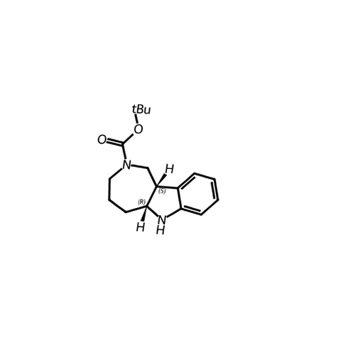 CC(C)(C)OC(=O)N1CCC[C@H]2Nc3ccccc3[C@H]2C1